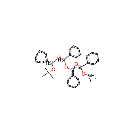 C[SiH2]O[SiH](O[SiH](O[SiH](O[SiH](O[Si](C)(C)C)c1ccccc1)c1ccccc1)c1ccccc1)c1ccccc1